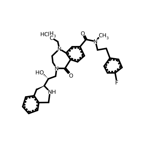 CCN1CCN(C[C@@H](O)[C@@H]2Cc3ccccc3CN2)C(=O)c2ccc(C(=O)N(C)CCc3ccc(F)cc3)cc21.Cl